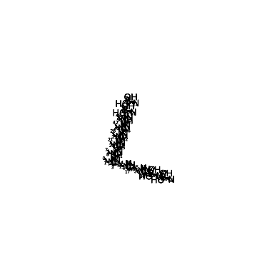 CCn1ccnn1.CCn1ccnn1.CCn1ccnn1.CCn1ccnn1.CCn1ccnn1.CCn1ccnn1.CCn1ccnn1.CCn1ccnn1.N#CB(O)O.N#CB(O)O.N#CB(O)O.N#CB(O)O